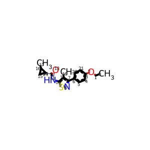 CCOc1ccc(-c2nsc(NC(=O)[C@@H]3CC3C)c2C)cc1